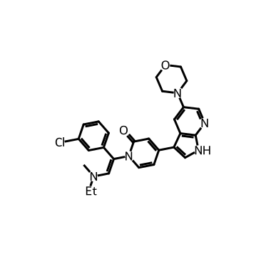 CCN(C)/C=C(\c1cccc(Cl)c1)n1ccc(-c2c[nH]c3ncc(N4CCOCC4)cc23)cc1=O